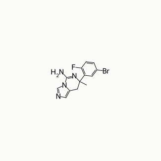 CC1(c2cc(Br)ccc2F)Cc2cncn2C(N)=N1